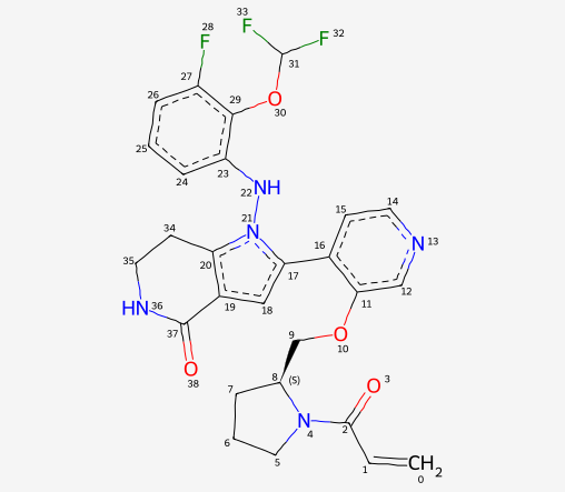 C=CC(=O)N1CCC[C@H]1COc1cnccc1-c1cc2c(n1Nc1cccc(F)c1OC(F)F)CCNC2=O